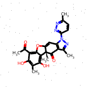 CC(=O)c1c(O)c(C)c(O)c2c1OC1=Cc3c(c(C)nn3-c3ccc(C)nn3)C(=O)[C@@]12C